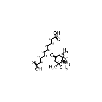 CC1(C)CC(=O)CC(C)(C)N1.O=C(O)CCCCCCCCC(=O)O